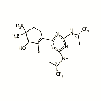 BC1(B)CCC(c2nc(N[C@@H](C)C(F)(F)F)nc(N[C@@H](C)C(F)(F)F)n2)=C(F)C1O